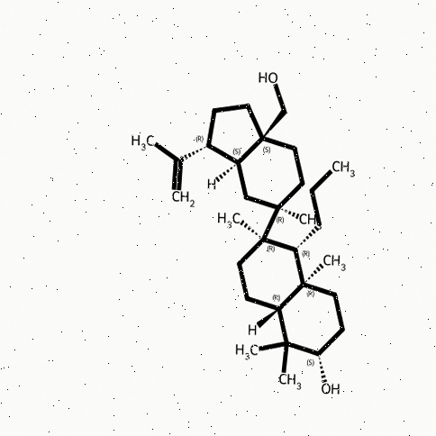 C=C(C)[C@@H]1CC[C@]2(CO)CC[C@@](C)([C@]3(C)CC[C@H]4C(C)(C)[C@@H](O)CC[C@]4(C)[C@H]3CCC)C[C@@H]12